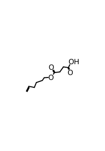 C=CCCCCOC(=O)CCC(=O)O